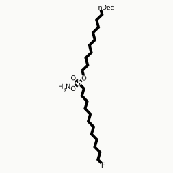 CCCCCCCCCCCCCCCCCCCCOS(=O)(=O)CCCCCCCCCCCCF.N